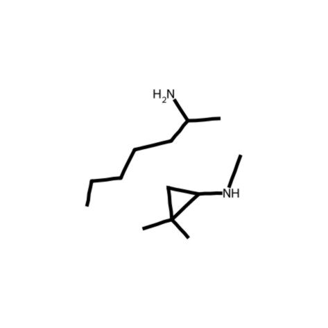 CCCCCC(C)N.CNC1CC1(C)C